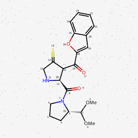 COC(OC)[C@@H]1CCCN1C(=O)[C@H]1NCC(=S)C1C(=O)c1cc2ccccc2o1